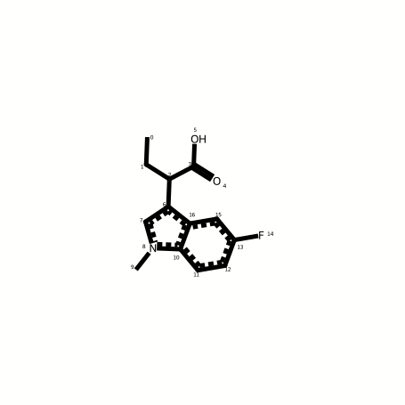 CCC(C(=O)O)c1cn(C)c2ccc(F)cc12